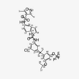 Cc1noc(C)c1S(=O)(=O)Nc1ccc2c(c1)C=C[SH]2C(=O)Nc1cc(Cl)cc(C(C)(C)c2cc(OC(C)C)cc(OC(F)(F)F)c2)c1